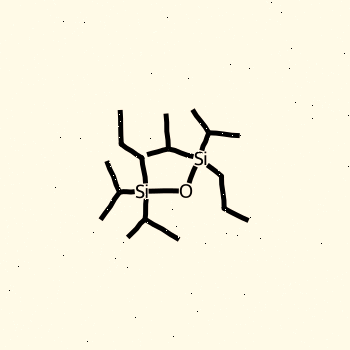 CCC[Si](O[Si](CCC)(C(C)C)C(C)C)(C(C)C)C(C)C